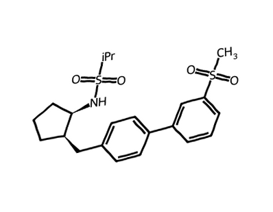 CC(C)S(=O)(=O)N[C@@H]1CCC[C@@H]1Cc1ccc(-c2cccc(S(C)(=O)=O)c2)cc1